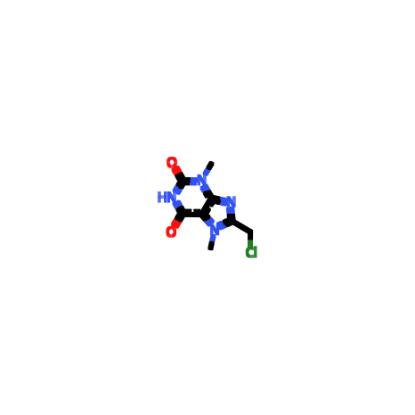 Cn1c(CCl)nc2c1c(=O)[nH]c(=O)n2C